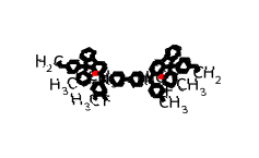 C=Cc1ccc(C2(c3cc(C)ccc3C)c3ccccc3-c3ccc(N(c4ccc(-c5ccc(N(c6ccc(C)c(F)c6)c6ccc7c(c6)C(c6ccc(C=C)cc6)(c6cc(C)ccc6C)c6ccccc6-7)cc5)cc4)c4ccc(C)c(F)c4)cc32)cc1